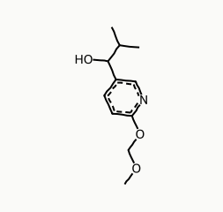 COCOc1ccc(C(O)C(C)C)cn1